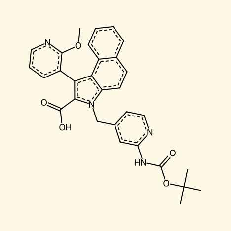 COc1ncccc1-c1c(C(=O)O)n(Cc2ccnc(NC(=O)OC(C)(C)C)c2)c2ccc3ccccc3c12